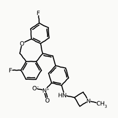 CN1CC(Nc2ccc(C=C3c4ccc(F)cc4OCc4c(F)cccc43)cc2[N+](=O)[O-])C1